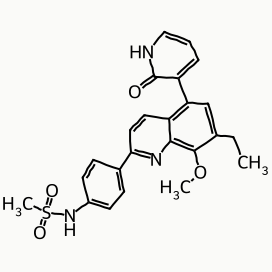 CCc1cc(-c2ccc[nH]c2=O)c2ccc(-c3ccc(NS(C)(=O)=O)cc3)nc2c1OC